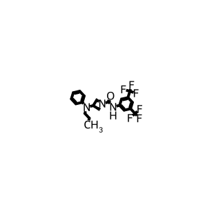 CCCN(c1ccccc1)C1CN(C(=O)Nc2cc(C(F)(F)F)cc(C(F)(F)F)c2)C1